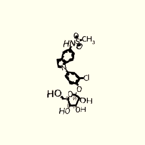 CS(=O)(=O)Nc1ccc2c(ccn2-c2ccc(O[C@H]3O[C@H](CO)[C@@H](O)[C@H](O)[C@@H]3O)c(Cl)c2)c1